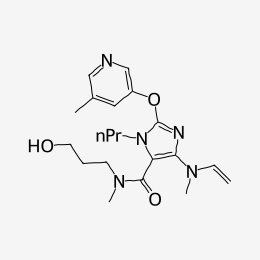 C=CN(C)c1nc(Oc2cncc(C)c2)n(CCC)c1C(=O)N(C)CCCO